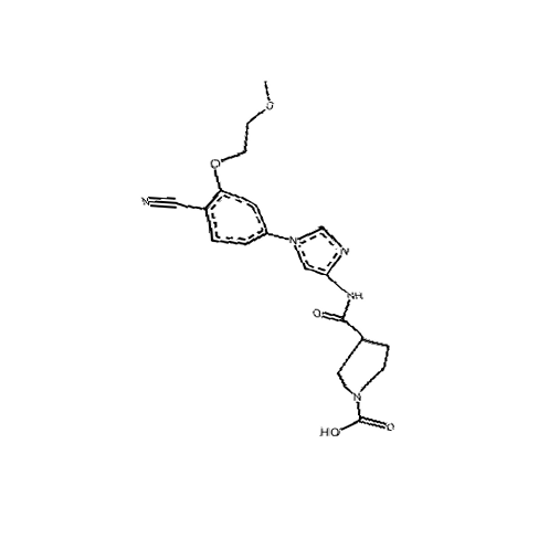 COCCOc1cc(-n2cnc(NC(=O)C3CCN(C(=O)O)C3)c2)ccc1C#N